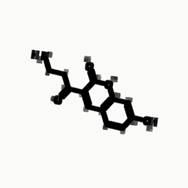 NCCC(=O)c1cc2ccc(O)cc2oc1=O